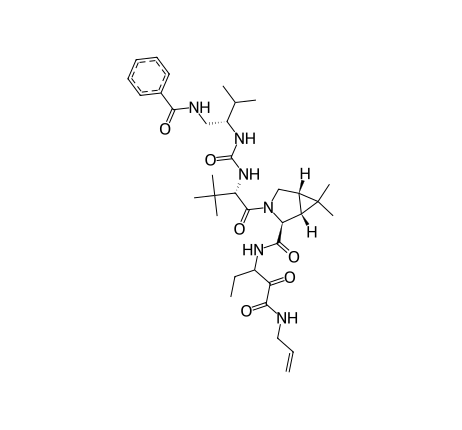 C=CCNC(=O)C(=O)C(CC)NC(=O)[C@@H]1[C@@H]2[C@H](CN1C(=O)[C@@H](NC(=O)N[C@H](CNC(=O)c1ccccc1)C(C)C)C(C)(C)C)C2(C)C